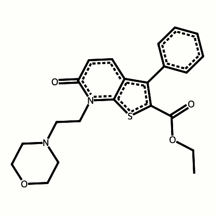 CCOC(=O)c1sc2c(ccc(=O)n2CCN2CCOCC2)c1-c1ccccc1